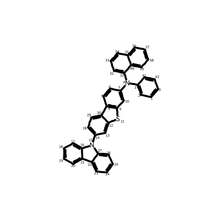 c1ccc(N(c2ccc3c(c2)sc2cc(-n4c5ccccc5c5ccccc54)ccc23)c2cccc3ccccc23)cc1